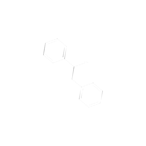 BrC(Cc1ccccc1)c1ccccc1